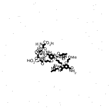 CCn1nc(C)cc1C(=O)Nc1nc2cc(C(N)=O)cc(OCCCNC(=O)[C@H](CC(=O)O)NC(=O)[C@H](CC(=O)O)NC(=O)CNC(=O)[C@@H](N)CC(=O)O)c2n1C/C=C/Cn1c2nc(-c3cc(C)nn3CC)ncc2c2cc(C(N)=O)cc(OCCCOC)c21